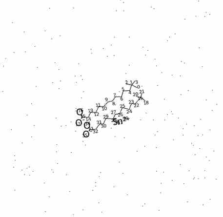 CC(C)(C)CCCCCCCCCCCC(=O)[O-].CC(C)(C)CCCCCCCCCCCC(=O)[O-].[CH3][Sn+2][CH3]